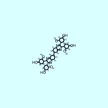 COc1cc(O)ccc1-c1nc2ccc(-c3ccc4nc(-c5ccc(O)cc5OC)c(-c5ccc(O)cc5OC)nc4c3)cc2nc1-c1ccc(O)cc1OC